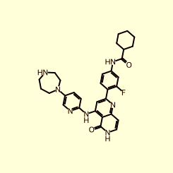 O=C(Nc1ccc(-c2cc(Nc3ccc(N4CCCNCC4)cn3)c3c(=O)[nH]ccc3n2)c(F)c1)C1CCCCC1